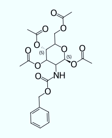 CC(=O)OCC1O[C@@H](OC(C)=O)C(NC(=O)OCc2ccccc2)C(OC(C)=O)[C@@H]1OC(C)=O